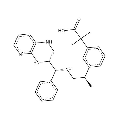 C[C@@H](CN[C@H](c1ccccc1)[C@H]1CNc2cccnc2N1)c1cccc(C(C)(C)C(=O)O)c1